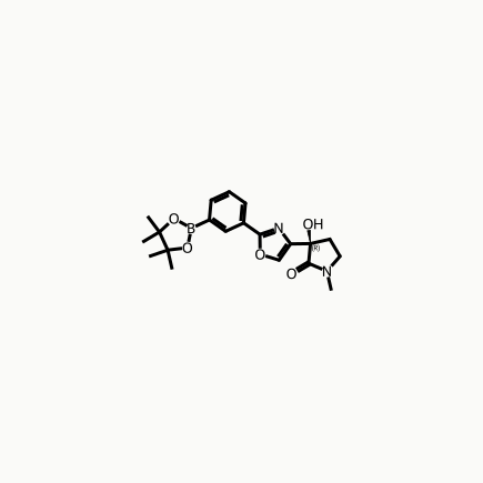 CN1CC[C@@](O)(c2coc(-c3cccc(B4OC(C)(C)C(C)(C)O4)c3)n2)C1=O